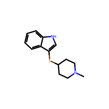 CN1CCC(Sc2c[nH]c3ccccc23)CC1